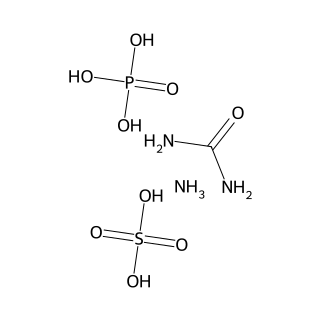 N.NC(N)=O.O=P(O)(O)O.O=S(=O)(O)O